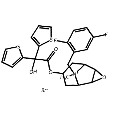 C[N+]1(Cc2cc(F)ccc2F)C2CC(OC(=O)C(O)(c3cccs3)c3cccs3)CC1C1OC12.[Br-]